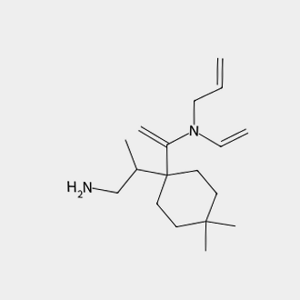 C=CCN(C=C)C(=C)C1(C(C)CN)CCC(C)(C)CC1